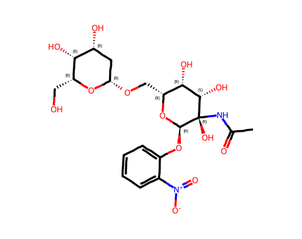 CC(=O)N[C@]1(O)[C@@H](Oc2ccccc2[N+](=O)[O-])O[C@H](CO[C@H]2C[C@@H](O)[C@@H](O)[C@@H](CO)O2)[C@H](O)[C@@H]1O